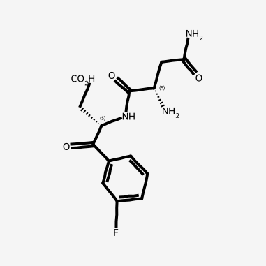 NC(=O)C[C@H](N)C(=O)N[C@@H](CC(=O)O)C(=O)c1[c]ccc(F)c1